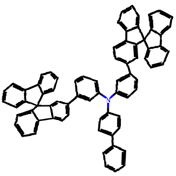 c1ccc(-c2ccc(N(c3cccc(-c4ccc5c(c4)C4(c6ccccc6-c6ccccc64)c4ccccc4-5)c3)c3cccc(-c4ccc5c(c4)C4(c6ccccc6-c6ccccc64)c4ccccc4-5)c3)cc2)cc1